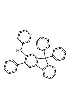 c1ccc(Nc2cc3c(cc2-c2ccccc2)-c2ccccc2C3(c2ccccc2)c2ccccc2)cc1